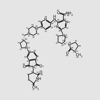 C=C1CCC(N2C(=O)c3ccc(N4CC[C@H](CN5CCN(c6ccc(Nc7nc(N8CCC[C@@H](N9CCN(C)C9=O)C8)cnc7C(N)=O)nc6)CC5)C4)cc3C2=O)C(=O)N1